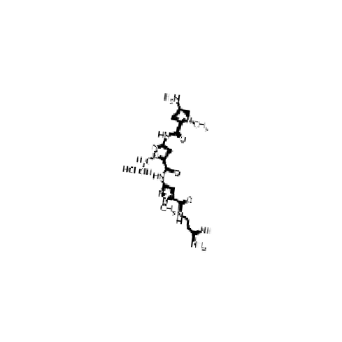 Cl.Cl.Cn1cc(N)cc1C(=O)Nc1cc(C(=O)Nc2cc(C(=O)NCCC(=N)N)n(C)n2)n(C)n1